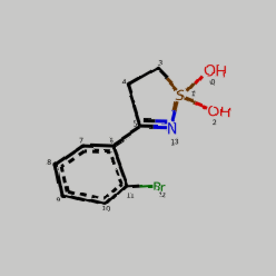 OS1(O)CCC(c2ccccc2Br)=N1